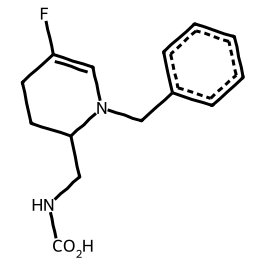 O=C(O)NCC1CCC(F)=CN1Cc1ccccc1